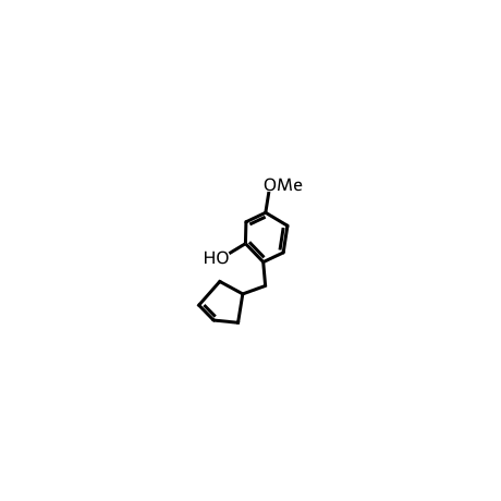 COc1ccc(CC2CC=CC2)c(O)c1